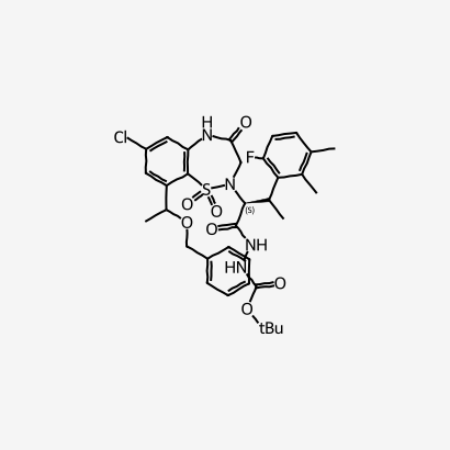 Cc1ccc(F)c(C(C)[C@@H](C(=O)NNC(=O)OC(C)(C)C)N2CC(=O)Nc3cc(Cl)cc(C(C)OCc4ccccc4)c3S2(=O)=O)c1C